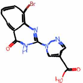 O=C(O)c1cnn(-c2nc3c(Br)cccc3c(=O)[nH]2)c1